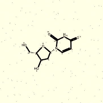 O=c1ccn([C@@H]2CC(O)[C@H](CO)O2)c(=O)[nH]1